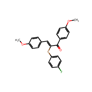 COc1ccc(C=C(Sc2ccc(F)cc2)C(=O)c2ccc(OC)cc2)cc1